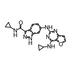 O=C(NC1CC1)c1n[nH]c2cc(Nc3nc(NC4CC4)c4occc4n3)ccc12